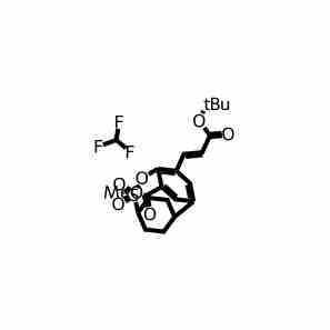 COC(=O)c1cc2cc(C=CC(=O)OC(C)(C)C)c1OS(=O)(=O)C1CCC2CC1.FC(F)F